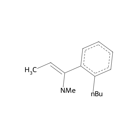 C/C=C(\NC)c1ccccc1CCCC